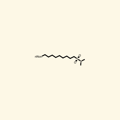 CCCCCCCCCCCCCCCCCCS(=O)(=O)N(C)C